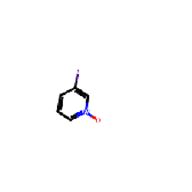 [O-][n+]1cccc(I)c1